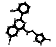 Cc1cc(CNc2nc(-c3ccccc3O)nc3ccc(F)cc23)no1